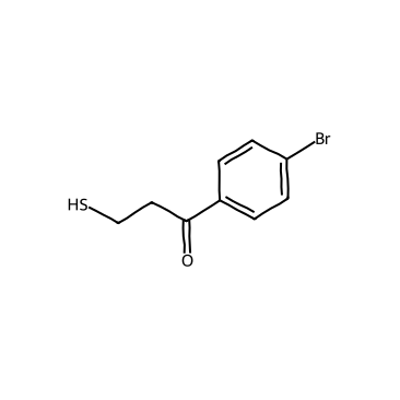 O=C(CCS)c1ccc(Br)cc1